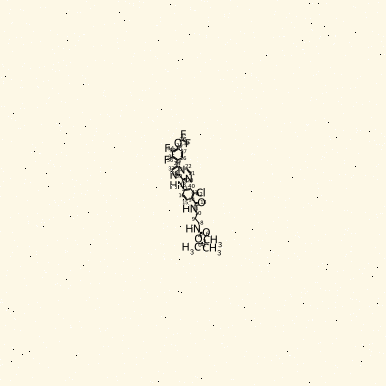 CC(C)(C)OC(=O)NCCCNC(=O)c1ccc(Nc2nccn3c(-c4ccc(OC(F)F)c(F)c4F)cnc23)cc1Cl